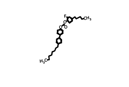 CCCCCCCCc1ccc(-c2ccc(OC(=O)Oc3ccc(CCCCC)cc3F)cc2)cc1